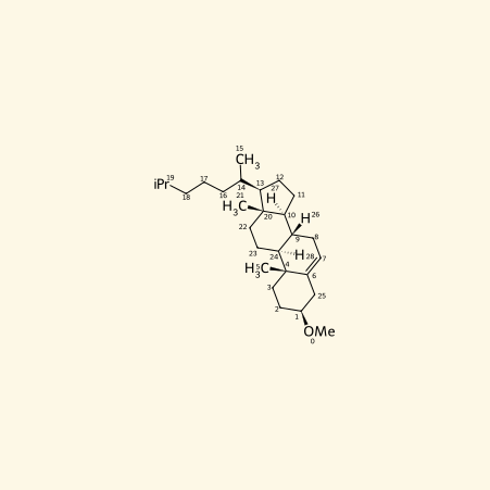 CO[C@H]1CC[C@@]2(C)C(=CC[C@H]3[C@@H]4CC[C@H](C(C)CCCC(C)C)[C@@]4(C)CC[C@@H]32)C1